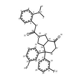 CN(C)c1ccccc1CC(=O)N1CC2C(=O)CCC(c3cccc(F)c3)(c3cccc(F)c3)C2C1